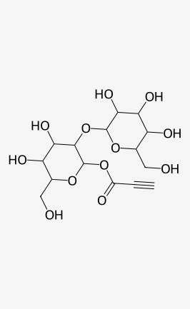 C#CC(=O)OC1OC(CO)C(O)C(O)C1OC1OC(CO)C(O)C(O)C1O